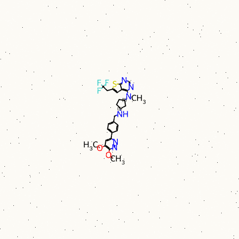 COc1cc(-c2ccc(CN[C@H]3CC[C@@H](N(C)c4ncnc5sc(CC(F)(F)F)cc45)C3)cc2)nnc1OC